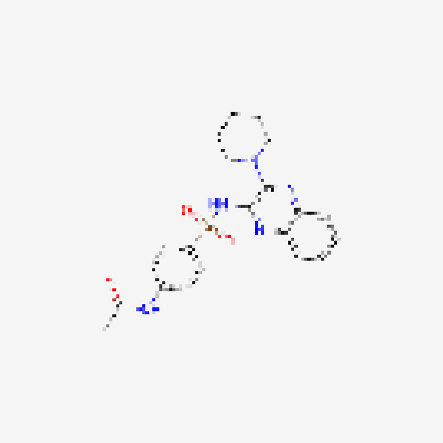 CC(=O)Nc1ccc(S(=O)(=O)Nc2nc3ccccc3nc2N2CCCCC2)cc1